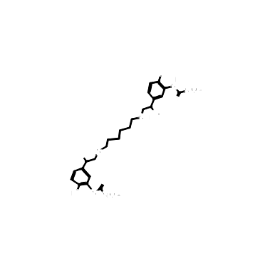 CNC(=O)Nc1cc(C(O)CNCCCCCCNCC(O)c2ccc(O)c(NC(=O)NC)c2)ccc1O